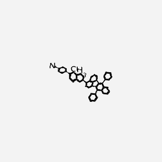 Cc1c(-c2ccc(C#N)cc2)ccc2cc(-c3ccc4c5c(cccc35)-c3c-4c(-c4ccccc4)c4ccccc4c3-c3ccccc3)ccc12